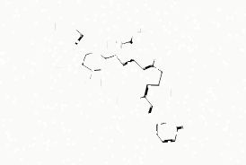 C/C=C/[C@@H]1O[C@H]([C@@H](/C=C/C=C(\C)C[C@@H](C)/C=C(C)\C=C\[C@H]2CC=CC(=O)O2)NC(=O)O)C[C@@H](O)[C@@H]1C